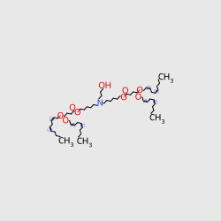 CCCC/C=C\C/C=C\COC(CCC(=O)OCCCCCCN(CCCCO)CCCCCCOC(=O)CCC(OC/C=C\C/C=C\CCCC)OC/C=C\C/C=C\CCCC)OC/C=C\C/C=C\CCCC